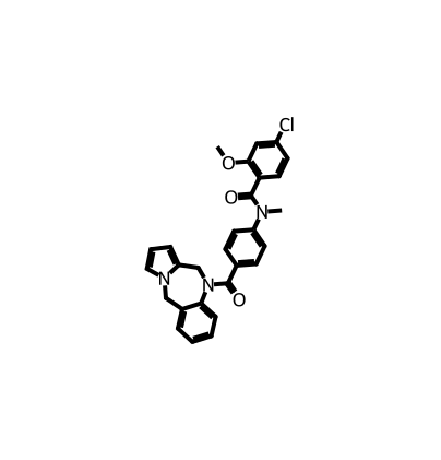 COc1cc(Cl)ccc1C(=O)N(C)c1ccc(C(=O)N2Cc3cccn3Cc3ccccc32)cc1